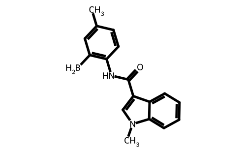 Bc1cc(C)ccc1NC(=O)c1cn(C)c2ccccc12